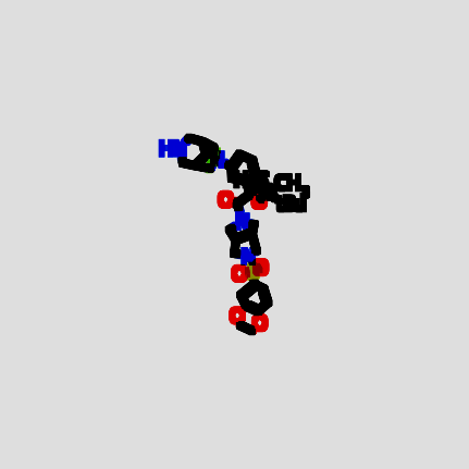 CC(C)(C)[Si](C)(C)OC(C(=O)N1CC2=C(C1)CN(S(=O)(=O)c1ccc3c(c1)OCCO3)C2)c1cccc(N2CC3CNCC(C2)C3(F)F)c1